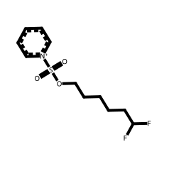 O=S(=O)(OCCCCCC(F)F)[n+]1ccccc1